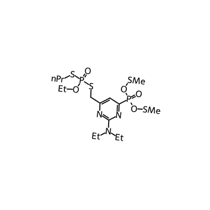 CCCSP(=O)(OCC)SCc1cc(P(=O)(OSC)OSC)nc(N(CC)CC)n1